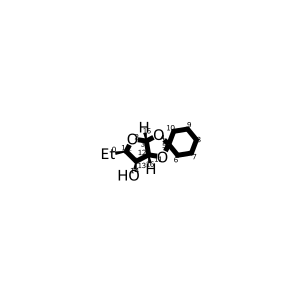 CC[C@H]1O[C@@H]2OC3(CCCCC3)O[C@@H]2[C@H]1O